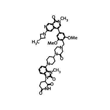 COc1cc(-c2cn(C)c(=O)c3cnc(N4CC(C)C4)cc23)cc(OC)c1CN1CCN(C2CCN(c3cccc4c3n(C)c(=O)n4C3CCC(=O)NC3=O)CC2)C(=O)C1